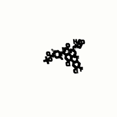 C[C@@H]1CN(c2nc(=O)n3c4c(c(-c5cc(Cl)c(F)cc5F)c(Cl)cc24)SC[C@@H]3CN2CC3OC[C@H]32)[C@@H](C)CN1C(=O)OC(C)(C)C